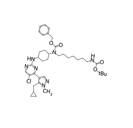 Cn1ncc(-c2nc(NC3CCC(N(CCCCCCCNC(=O)OC(C)(C)C)C(=O)OCc4ccccc4)CC3)ncc2Cl)c1CC1CC1